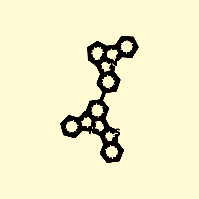 c1ccc2c(c1)sc1c3cc(-c4ccc5c(c4)c4cccc6c7ccccc7n5c64)cc4c5ccccc5n(c43)c21